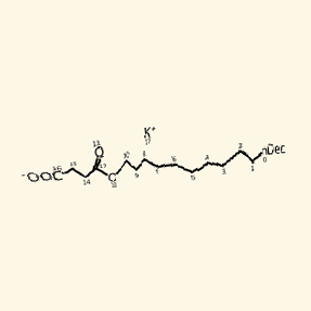 CCCCCCCCCCCCCCCCCCCCOC(=O)CCC(=O)[O-].[K+]